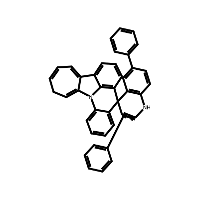 C1=CCC=c2c(c3cccc4c3n2-c2ccccc2C42c3cc(-c4ccccc4)ccc3Nc3ccc(-c4ccccc4)cc32)=C1